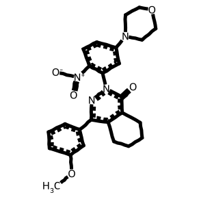 COc1cccc(-c2nn(-c3cc(N4CCOCC4)ccc3[N+](=O)[O-])c(=O)c3c2CCCC3)c1